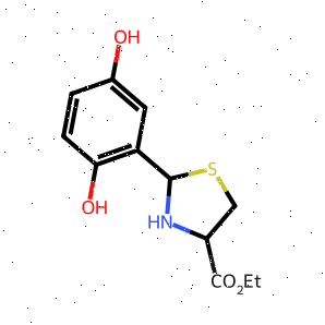 CCOC(=O)C1CSC(c2cc(O)ccc2O)N1